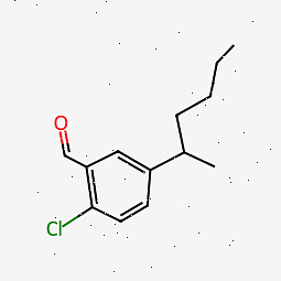 CCCCC(C)c1ccc(Cl)c(C=O)c1